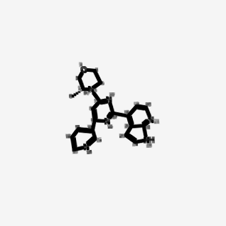 C[C@@H]1COCCN1c1cc(-c2cccnc2)nc(-c2ccnc3[nH]ccc23)n1